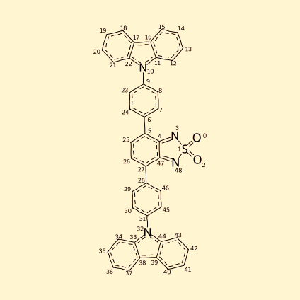 O=S1(=O)N=c2c(-c3ccc(-n4c5ccccc5c5ccccc54)cc3)ccc(-c3ccc(-n4c5ccccc5c5ccccc54)cc3)c2=N1